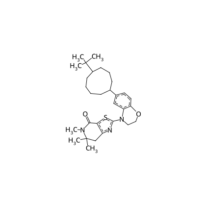 CN1C(=O)c2sc(N3CCOc4ccc(C5CCCCC(C(C)(C)C)CCC5)cc43)nc2CC1(C)C